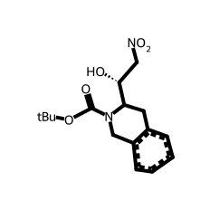 CC(C)(C)OC(=O)N1Cc2ccccc2CC1[C@H](O)C[N+](=O)[O-]